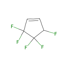 FC1C=CC(F)(F)C1(F)F